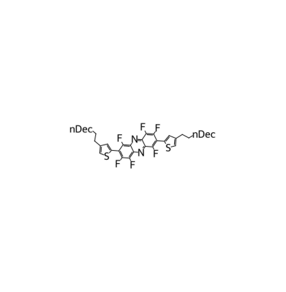 CCCCCCCCCCCCc1csc(-c2c(F)c(F)c3nc4c(F)c(-c5cc(CCCCCCCCCCCC)cs5)c(F)c(F)c4nc3c2F)c1